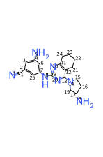 N#Cc1cc(N)cc(Nc2nc3c(c(N4CC[C@H](N)C4)n2)CCCC3)c1